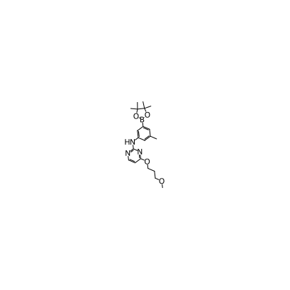 COCCCOc1ccnc(Nc2cc(C)cc(B3OC(C)(C)C(C)(C)O3)c2)n1